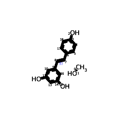 CO.Oc1ccc(/C=C/c2cc(O)cc(O)c2)cc1